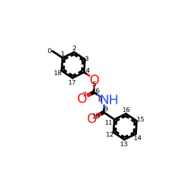 Cc1ccc(OC(=O)NC(=O)c2ccccc2)cc1